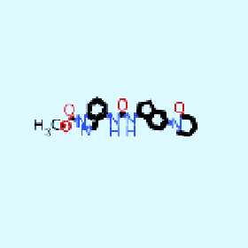 COC(=O)n1ncc2c(NC(=O)NC3CCc4cc(N5CCCCC5=O)ccc43)cccc21